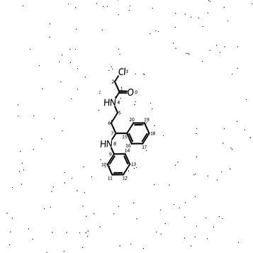 O=C(CCl)NCCC(Nc1ccccc1)c1ccccc1